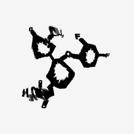 Cn1cc(-c2cc(CS(C)(=O)=O)ccc2Oc2ccc(F)cc2F)ccc1=O